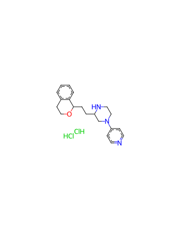 Cl.Cl.c1ccc2c(c1)CCOC2CCC1CN(c2ccncc2)CCN1